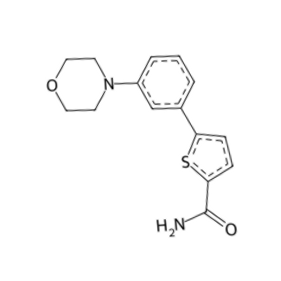 NC(=O)c1ccc(-c2cccc(N3CCOCC3)c2)s1